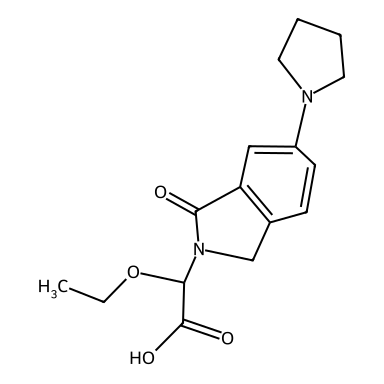 CCOC(C(=O)O)N1Cc2ccc(N3CCCC3)cc2C1=O